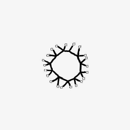 ClC1C(Cl)(Cl)C(Cl)(Cl)C(Cl)(Cl)C(Cl)(Cl)C(Cl)(Cl)C(Cl)(Cl)C(Cl)(Cl)C(Cl)(Cl)C(Cl)(Cl)C1(Cl)Cl